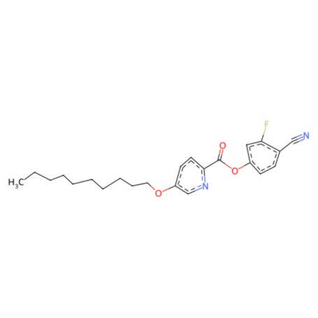 CCCCCCCCCCOc1ccc(C(=O)Oc2ccc(C#N)c(F)c2)nc1